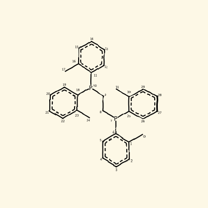 Cc1ccccc1P(CCP(c1ccccc1C)c1ccccc1C)c1ccccc1C